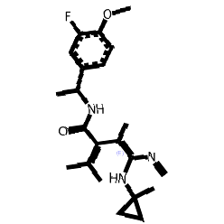 C=N/C(NC1(C)CC1)=C(\C)C(C(=O)NC(C)c1ccc(OC)c(F)c1)=C(C)C